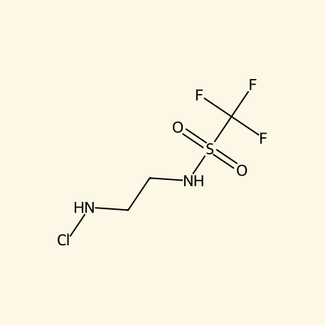 O=S(=O)(NCCNCl)C(F)(F)F